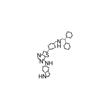 c1ccc(C(CNCc2ccc(-c3cc4ncnc(Nc5ccc6[nH]ccc6c5)c4s3)cc2)c2ccccc2)cc1